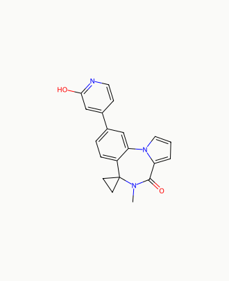 CN1C(=O)c2cccn2-c2cc(-c3ccnc(O)c3)ccc2C12CC2